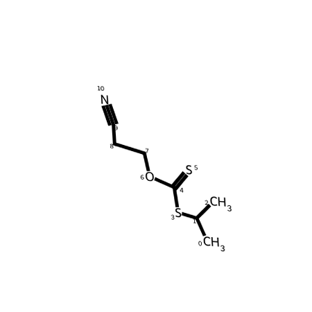 CC(C)SC(=S)OCCC#N